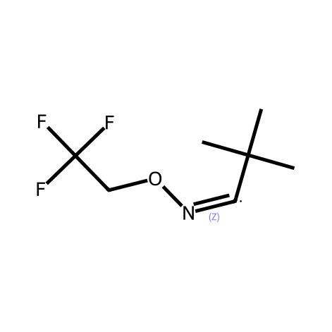 CC(C)(C)/[C]=N\OCC(F)(F)F